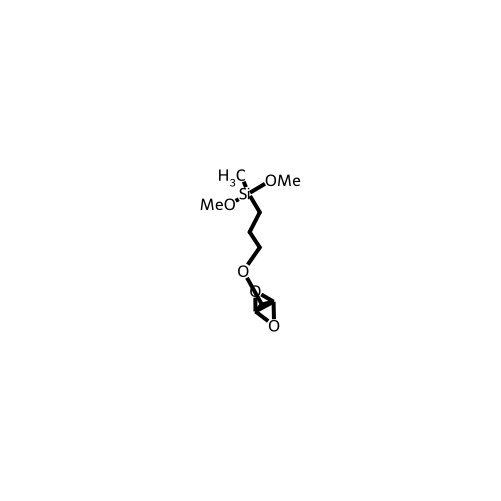 CO[Si](C)(CCCOC1C23OC12O3)OC